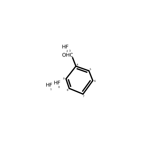 F.F.F.O=Cc1ccccc1